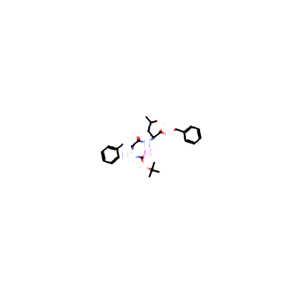 CC(C)C[C@](C)(NC(=O)[C@@H](Cc1ccccc1)NC(=O)OC(C)(C)C)C(=O)OCc1ccccc1